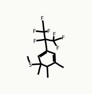 CSC1(C)C=C(C(F)(C(F)(F)F)C(F)(F)F)C=C(C)[C]1C